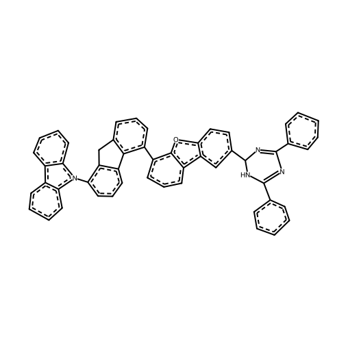 c1ccc(C2=NC(c3ccc4oc5c(-c6cccc7c6-c6cccc(-n8c9ccccc9c9ccccc98)c6C7)cccc5c4c3)NC(c3ccccc3)=N2)cc1